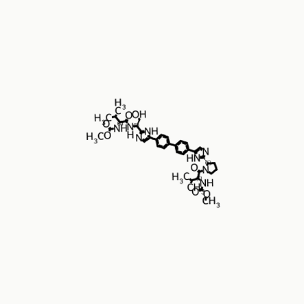 COC(=O)N[C@H](C(=O)N[C@@H](CO)c1ncc(-c2ccc(-c3ccc(-c4cnc([C@@H]5CCCN5C(=O)[C@@H](NC(=O)OC)C(C)C)[nH]4)cc3)cc2)[nH]1)C(C)C